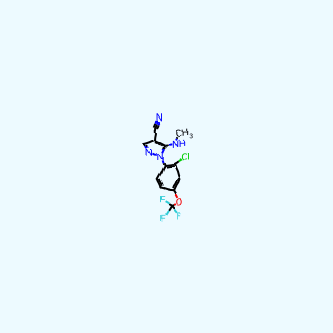 CNc1c(C#N)cnn1-c1ccc(OC(F)(F)F)cc1Cl